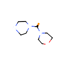 P=C(N1CCNCC1)N1CCOCC1